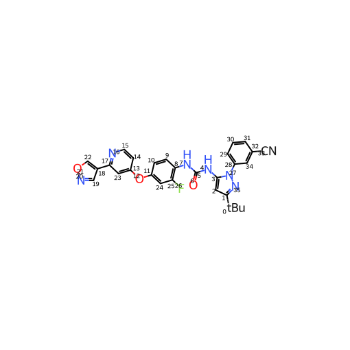 CC(C)(C)c1cc(NC(=O)Nc2ccc(Oc3ccnc(-c4cnoc4)c3)cc2F)n(-c2cccc(C#N)c2)n1